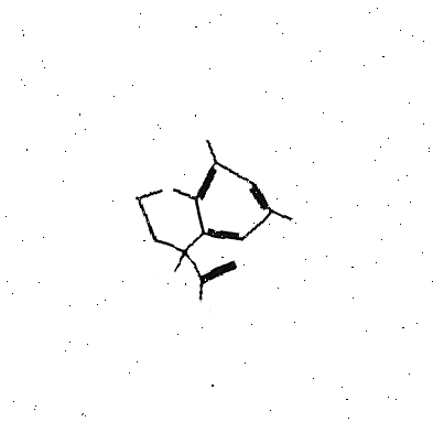 O=C(O)C1(O)CCSc2c(Cl)cc(Cl)cc21